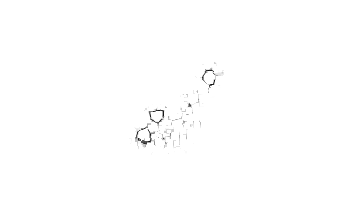 CC(C)(C)[Si](OCC(O)COC(=O)CCCc1ccccc1)(c1ccccc1)c1ccccc1